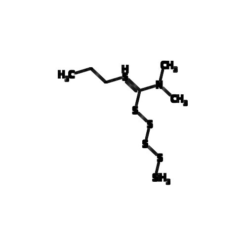 CCC[SH]=C(SSSS[SiH3])N(C)C